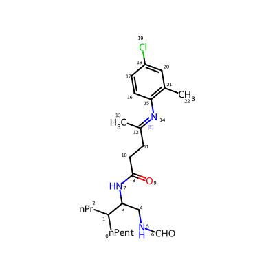 CCCCCC(CCC)C(CNC=O)NC(=O)CC/C(C)=N/c1ccc(Cl)cc1C